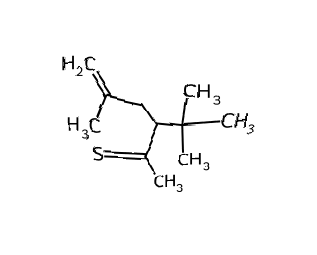 C=C(C)CC(C(C)=S)C(C)(C)C